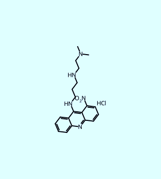 CN(C)CCNCCCNc1c2ccccc2nc2cccc([N+](=O)[O-])c12.Cl